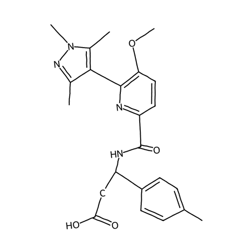 COc1ccc(C(=O)NC(CC(=O)O)c2ccc(C)cc2)nc1-c1c(C)nn(C)c1C